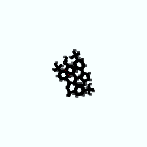 C=C(/C=C(\C(N)=C(\C1=C(c2ccc(C(C)(C)C)cc2)C=CC1C)c1ccc(OC)cc1)c1ccc(C(C)(C)C)cc1)c1ccc(C(C)(C)C)cc1